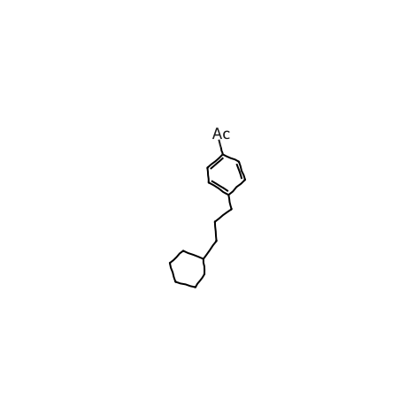 CC(=O)c1ccc(CCCC2CCCCC2)cc1